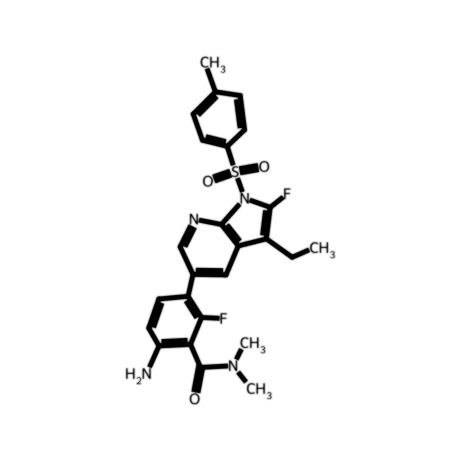 CCc1c(F)n(S(=O)(=O)c2ccc(C)cc2)c2ncc(-c3ccc(N)c(C(=O)N(C)C)c3F)cc12